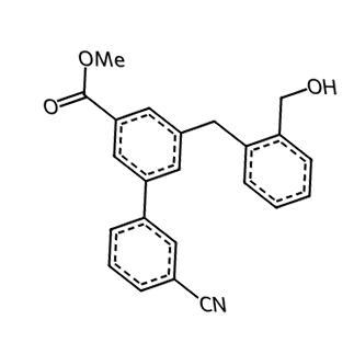 COC(=O)c1cc(Cc2ccccc2CO)cc(-c2cccc(C#N)c2)c1